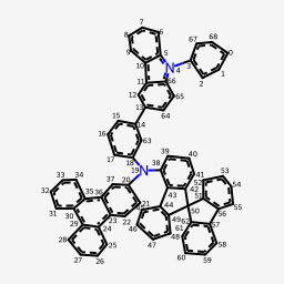 c1ccc(-n2c3ccccc3c3cc(-c4cccc(N(c5ccc6c7ccccc7c7ccccc7c6c5)c5cccc6c5-c5ccccc5C65c6ccccc6-c6ccccc65)c4)ccc32)cc1